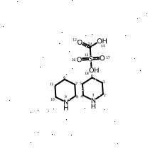 C1CCNCC1.C1CCNCC1.O=C(O)S(=O)(=O)O